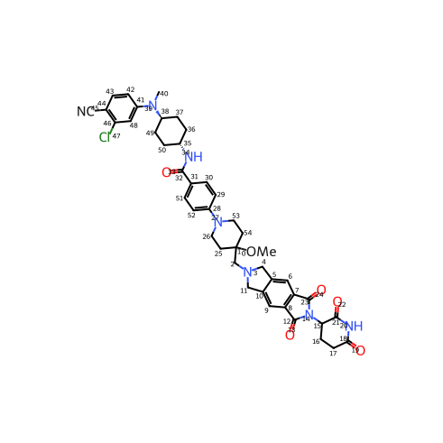 COC1(CN2Cc3cc4c(cc3C2)C(=O)N(C2CCC(=O)NC2=O)C4=O)CCN(c2ccc(C(=O)N[C@H]3CC[C@H](N(C)c4ccc(C#N)c(Cl)c4)CC3)cc2)CC1